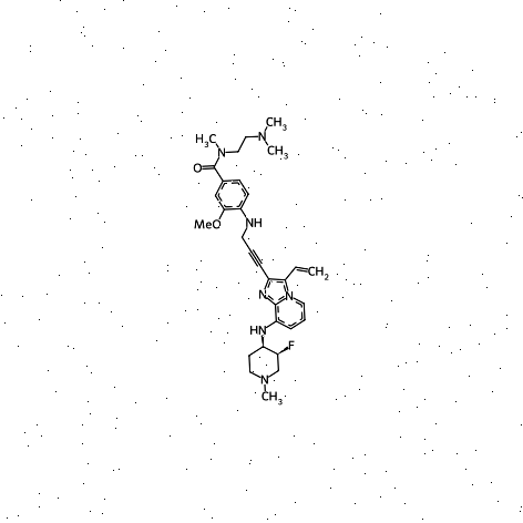 C=Cc1c(C#CCNc2ccc(C(=O)N(C)CCN(C)C)cc2OC)nc2c(N[C@@H]3CCN(C)C[C@@H]3F)cccn12